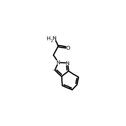 NC(=O)Cn1[c]c2ccccc2n1